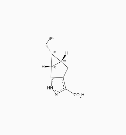 CC(C)C[C@@H]1[C@@H]2Cc3c(C(=O)O)n[nH]c3[C@H]12